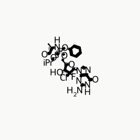 CC(C)OC(=O)[C@@H](C)N[P@@](=S)(OC[C@H]1O[C@@H](n2cnc3c(=O)[nH]c(N)nc32)[C@](F)(Cl)[C@@H]1O)Oc1ccccc1